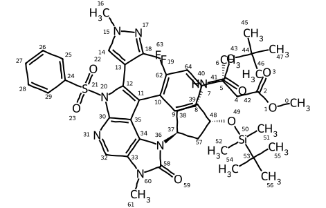 COC(=O)C[C@@H](C)c1ccc(-c2c(-c3cn(C)nc3F)n(S(=O)(=O)c3ccccc3)c3ncc4c(c23)n([C@H]2C[C@H](NC(=O)OC(C)(C)C)[C@H](O[Si](C)(C)C(C)(C)C)C2)c(=O)n4C)c(F)c1